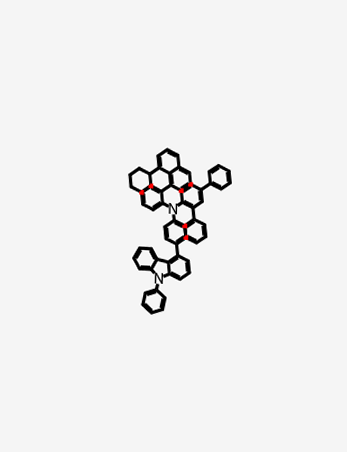 c1ccc(-c2ccc(N(c3ccc(-c4cccc5c4c4ccccc4n5-c4ccccc4)cc3)c3ccccc3-c3cccc4cccc(C5CCCCC5)c34)c(-c3ccccc3)c2)cc1